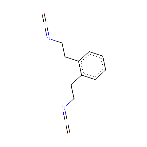 S=C=NCCc1ccccc1CCN=C=S